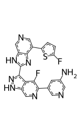 Nc1cncc(-c2ncc3[nH]nc(-c4nc5c(-c6ccc(F)s6)cncc5[nH]4)c3c2F)c1